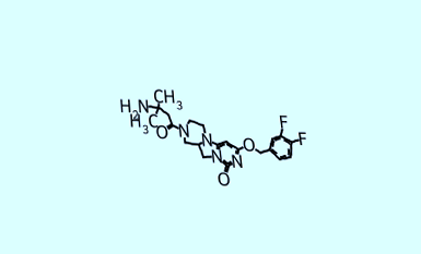 CC(C)(N)CC(=O)N1CCN2c3cc(OCc4ccc(F)c(F)c4)nc(=O)n3CC2C1